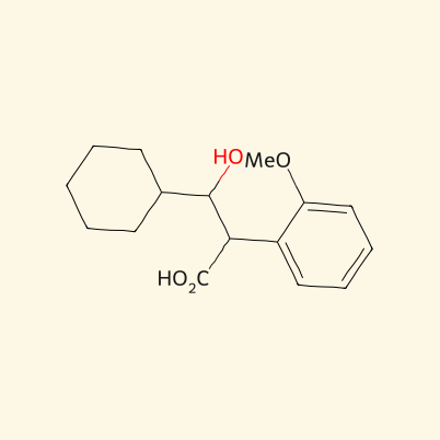 COc1ccccc1C(C(=O)O)C(O)C1CCCCC1